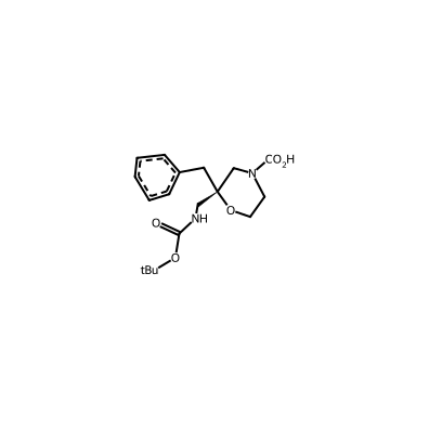 CC(C)(C)OC(=O)NC[C@@]1(Cc2ccccc2)CN(C(=O)O)CCO1